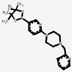 CC1(C)OB(c2ccc(N3CCN(Cc4ccccn4)CC3)nc2)OC1(C)C